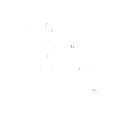 CCC1(CC)c2ccccc2-c2ccc(N(c3ccccc3)c3ccc4[nH]c5ccc(N(c6ccccc6)c6ccc7c(c6)C(CC)(CC)c6ccccc6-7)cc5c4c3)cc21